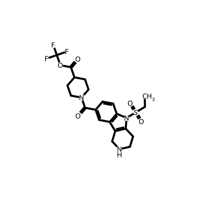 CCS(=O)(=O)n1c2c(c3cc(C(=O)N4CCC(C(=O)OC(F)(F)F)CC4)ccc31)CNCC2